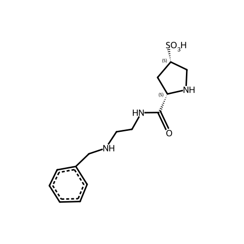 O=C(NCCNCc1ccccc1)[C@@H]1C[C@H](S(=O)(=O)O)CN1